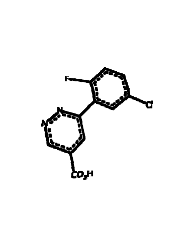 O=C(O)c1cnnc(-c2cc(Cl)ccc2F)c1